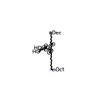 CCCCCCCC/C=C\CCCCCCCCCC(=O)O[C@H](COC(=O)CCCCCCCCCCCCCCCC)COP(=O)(O)OC[C@@H](O)CO